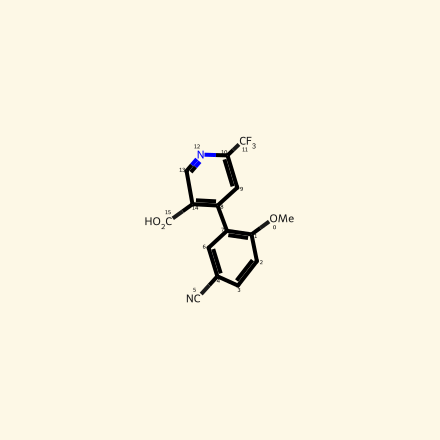 COc1ccc(C#N)cc1-c1cc(C(F)(F)F)ncc1C(=O)O